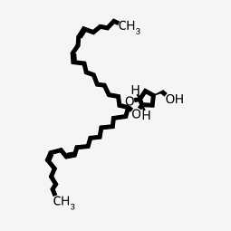 CCCCC/C=C\C/C=C\CCCCCCCCC1(CCCCCCCC/C=C\C/C=C\CCCCC)O[C@H]2C[C@H](CO)C[C@H]2O1